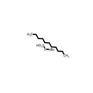 CCCCCCCCCCC.CCCCOS(=O)(=O)O